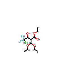 CCOC(=O)C(C(=O)C(F)(F)Cl)C(OCC)OCC